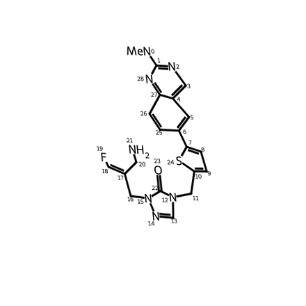 CNc1ncc2cc(-c3ccc(Cn4cnn(C/C(=C/F)CN)c4=O)s3)ccc2n1